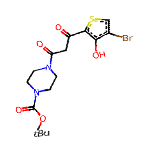 CC(C)(C)OC(=O)N1CCN(C(=O)CC(=O)c2scc(Br)c2O)CC1